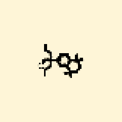 CCCC(C=O)(CCC)c1ccc2c(c1)C(C)(C)CCC2(C)C